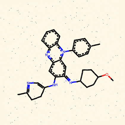 COC1CCC(/N=c2\cc3n(-c4ccc(C)cc4)c4ccccc4nc-3cc2NC2=CN=C(C)CC2)CC1